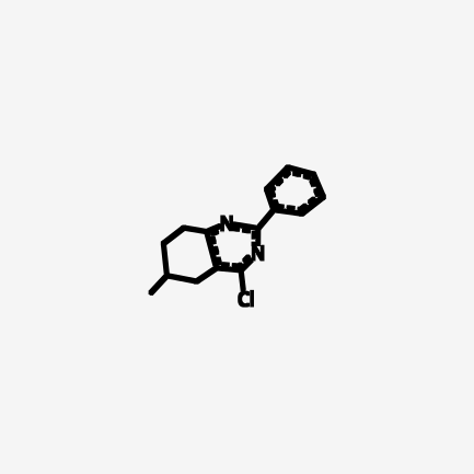 CC1CCc2nc(-c3ccccc3)nc(Cl)c2C1